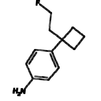 Nc1ccc(C2(CCF)CCC2)cc1